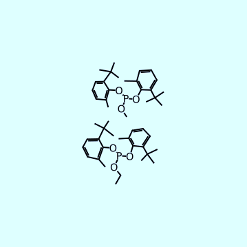 CCOP(Oc1c(C)cccc1C(C)(C)C)Oc1c(C)cccc1C(C)(C)C.COP(Oc1c(C)cccc1C(C)(C)C)Oc1c(C)cccc1C(C)(C)C